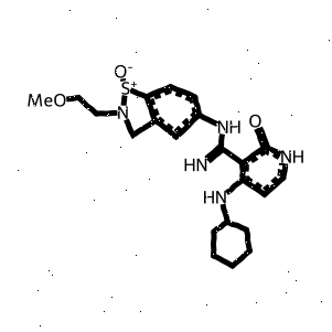 COCCN1Cc2cc(NC(=N)c3c(NC4CCCCC4)cc[nH]c3=O)ccc2[S+]1[O-]